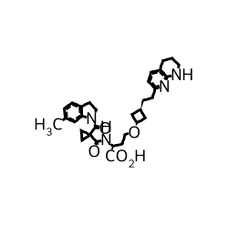 Cc1ccc2c(c1)N(C(=O)C1(C(=O)N[C@@H](CCO[C@H]3C[C@H](CCc4ccc5c(n4)NCCC5)C3)C(=O)O)CC1)CC2